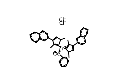 CC1=[C]([Zr+2]([C]2=C(C)C(c3ccc4ccccc4c3)=CC2C)=[Ge]([CH3])[c]2ccccc2)C(C)C=C1c1ccc2ccccc2c1.[Cl-].[Cl-]